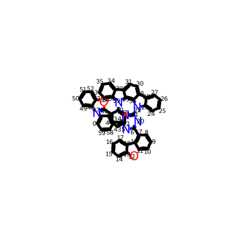 c1ccc(-c2nc(-c3cccc4oc5ccccc5c34)nc(-n3c4ccccc4c4ccc5c6ccccc6n(-c6ccccc6-c6nc7ccccc7o6)c5c43)n2)cc1